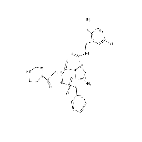 NCc1ccc(Cl)cc1CNC(=O)[C@@H]1C[C@H](N)CN1C(=O)[C@@H](CC(=O)N1CCNCC1)NS(=O)(=O)Cc1ccccc1